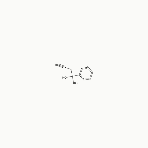 C#CCC(O)(c1cncnc1)C(C)(C)C